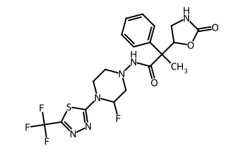 CC(C(=O)NN1CCN(c2nnc(C(F)(F)F)s2)C(F)C1)(c1ccccc1)C1CNC(=O)O1